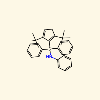 CC(C)(C)C1=CCC(C(C)(C)C)=C1[Si](Nc1ccccc1)(c1ccccc1)c1ccccc1